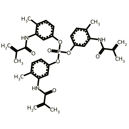 C=C(C)C(=O)Nc1cc(OP(=O)(Oc2ccc(C)c(NC(=O)C(=C)C)c2)Oc2ccc(C)c(NC(=O)C(=C)C)c2)ccc1C